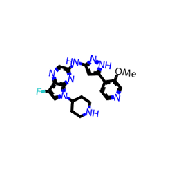 COc1cnccc1-c1cc(Nc2cnc3c(F)cn(C4CCNCC4)c3n2)n[nH]1